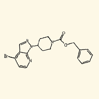 O=C(OCc1ccccc1)N1CCC(n2ncc3c(Br)ccnc32)CC1